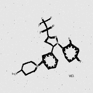 Cl.NC1CCN(c2cccc(C3CC(C(F)(F)C(F)(F)F)=NN3c3ccc(F)cc3F)c2)CC1